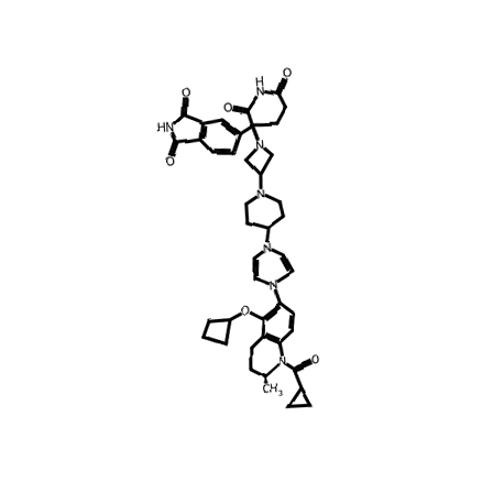 C[C@H]1CCc2c(ccc(N3C=CN(C4CCN(C5CN(C6(c7ccc8c(c7)C(=O)NC8=O)CCC(=O)NC6=O)C5)CC4)C=C3)c2OC2CCC2)N1C(=O)C1CC1